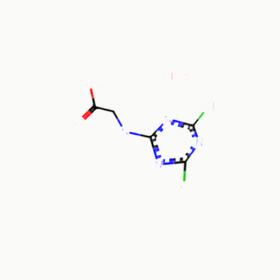 O.O=C(O)CNc1nc(Cl)nc(Cl)n1